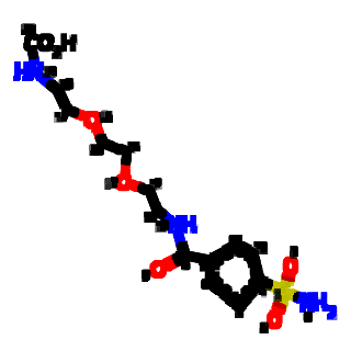 NS(=O)(=O)c1ccc(C(=O)NCCOCCOCCNC(=O)O)cc1